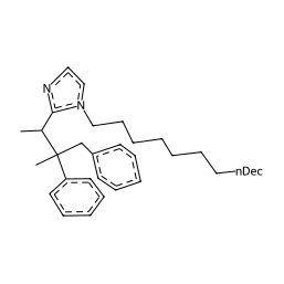 CCCCCCCCCCCCCCCCCn1ccnc1C(C)C(C)(Cc1ccccc1)c1ccccc1